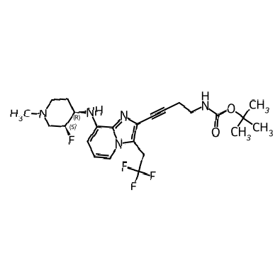 CN1CC[C@@H](Nc2cccn3c(CC(F)(F)F)c(C#CCCNC(=O)OC(C)(C)C)nc23)[C@@H](F)C1